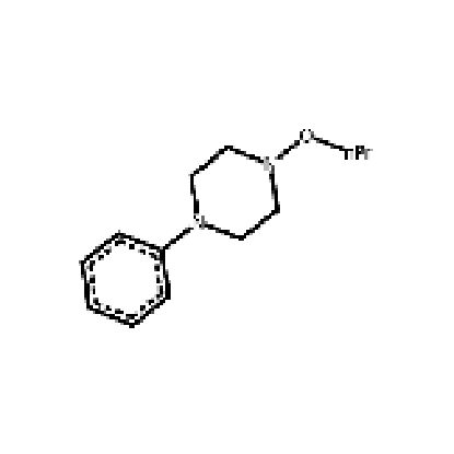 CCCON1CCN(c2ccccc2)CC1